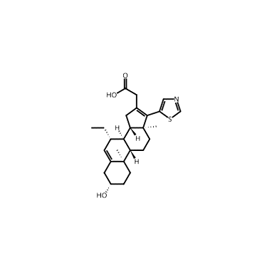 CC[C@H]1C=C2C[C@@H](O)CC[C@]2(C)[C@H]2CC[C@]3(C)C(c4cncs4)=C(CC(=O)O)C[C@H]3[C@H]12